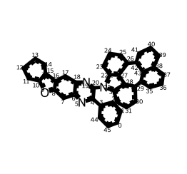 c1ccc(-c2nc3cc4oc5ccccc5c4cc3nc2-n2c3cccc4c3c3c(cccc32)-c2cccc3cccc-4c23)cc1